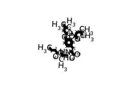 CCCC(=O)OC(C)CN[C@@H](Cc1ccc(OC(=O)CC(C)C)c(OC(=O)CC(C)C)c1)C(=O)O